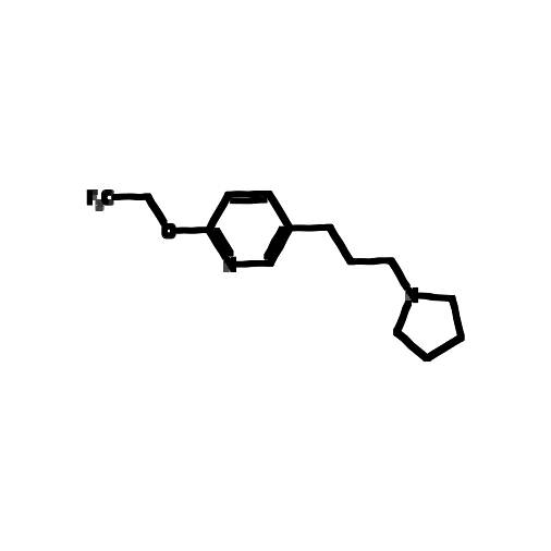 FC(F)(F)COc1ccc(CCCN2CCCC2)cn1